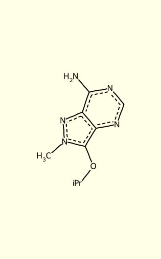 CC(C)Oc1c2ncnc(N)c2nn1C